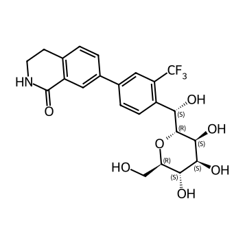 O=C1NCCc2ccc(-c3ccc([C@H](O)[C@H]4O[C@H](CO)[C@@H](O)[C@H](O)[C@@H]4O)c(C(F)(F)F)c3)cc21